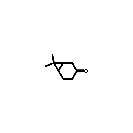 CC1(C)C2CCC(=O)CC21